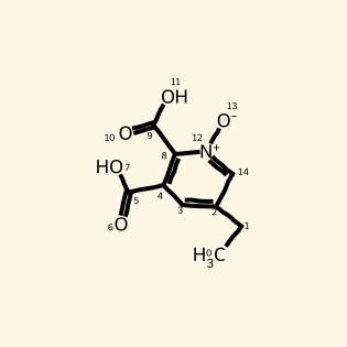 CCc1cc(C(=O)O)c(C(=O)O)[n+]([O-])c1